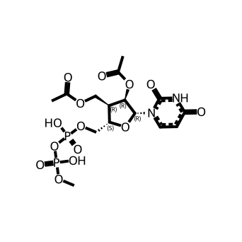 COP(=O)(O)OP(=O)(O)OC[C@H]1O[C@@H](n2ccc(=O)[nH]c2=O)[C@H](OC(C)=O)[C@@H]1COC(C)=O